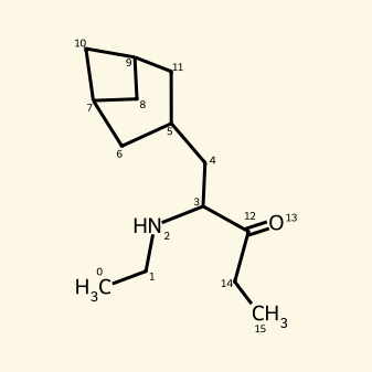 CCNC(CC1CC2CC(C2)C1)C(=O)CC